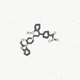 CCN(CC)C(=O)c1ccc(C(CCN2CCC(n3c(CO)nc4ccccc43)CC2)c2ccccc2OC)cc1